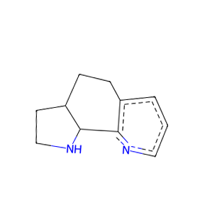 c1cnc2c(c1)CCC1CCNC21